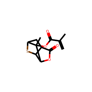 C=C(C)C(=O)OC1(C)C2CC3C(=O)OC1C3S2